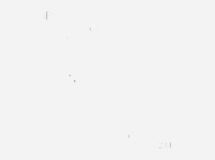 CC(C)C(=O)CN1CCC(COC(C)(C)C)C1